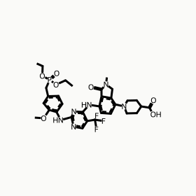 CCOP(=O)(Cc1ccc(Nc2ncc(C(F)(F)F)c(Nc3ccc(N4CCC(C(=O)O)CC4)c4c3C(=O)N(C)C4)n2)c(OC)c1)OCC